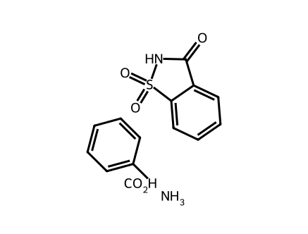 N.O=C(O)c1ccccc1.O=C1NS(=O)(=O)c2ccccc21